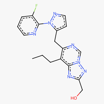 CCCc1c(Cc2ccnn2-c2ncccc2F)ncn2nc(CO)nc12